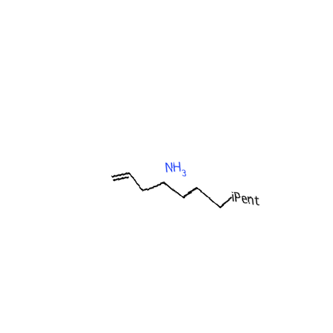 C=CCCCCCC(C)CCC.N